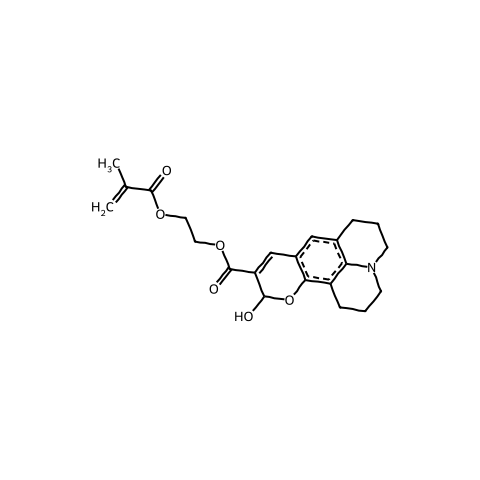 C=C(C)C(=O)OCCOC(=O)C1=Cc2cc3c4c(c2OC1O)CCCN4CCC3